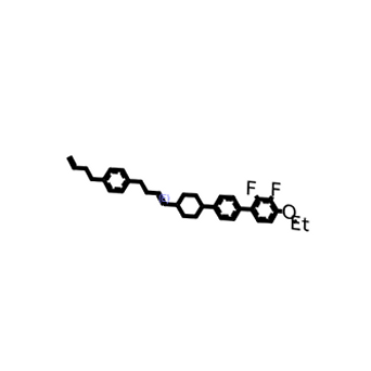 C=CCCc1ccc(CC/C=C/C2CCC(c3ccc(-c4ccc(OCC)c(F)c4F)cc3)CC2)cc1